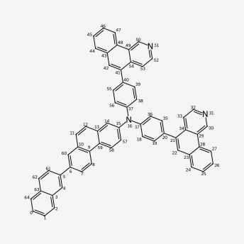 c1ccc2cc(-c3ccc4c(ccc5cc(N(c6ccc(-c7cc8ccccc8c8cnccc78)cc6)c6ccc(-c7cc8ccccc8c8cnccc78)cc6)ccc54)c3)ccc2c1